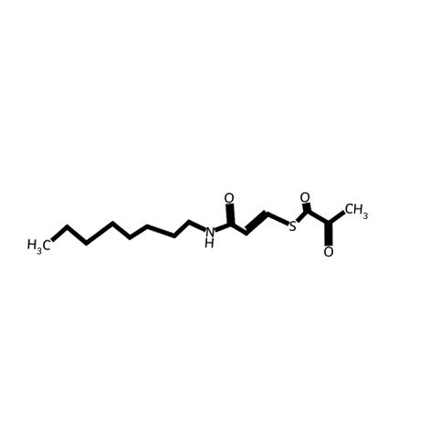 CCCCCCCCNC(=O)C=CSC(=O)C(C)=O